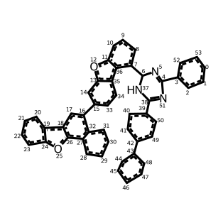 c1ccc(C2=NC(c3cccc4oc5cc(-c6cc7c8ccccc8oc7c7ccccc67)ccc5c34)NC(c3ccc(-c4ccccc4)cc3)=N2)cc1